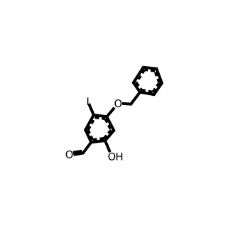 O=Cc1cc(I)c(OCc2ccccc2)cc1O